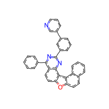 c1ccc(-c2nc(-c3cccc(-c4cccnc4)c3)nc3c2ccc2oc4ccc5ccccc5c4c23)cc1